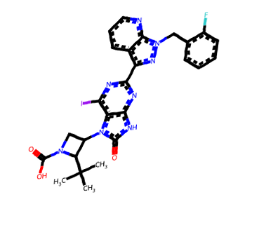 CC(C)(C)C1C(n2c(=O)[nH]c3nc(-c4nn(Cc5ccccc5F)c5ncccc45)nc(I)c32)CN1C(=O)O